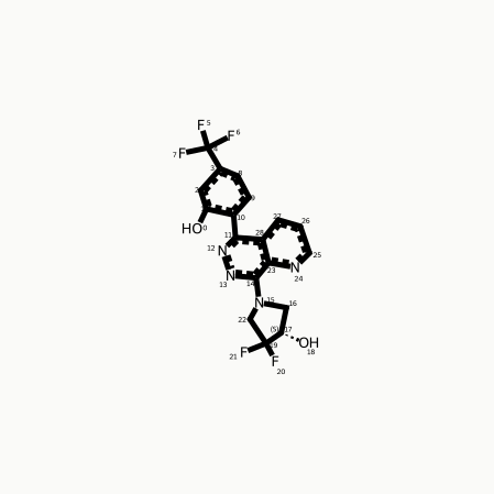 Oc1cc(C(F)(F)F)ccc1-c1nnc(N2C[C@H](O)C(F)(F)C2)c2ncccc12